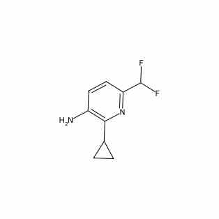 Nc1ccc(C(F)F)nc1C1CC1